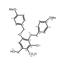 COc1ccc(COc2cc(CO)c(C(=O)O)c(Cl)c2OCc2ccc(OC)cc2)cc1